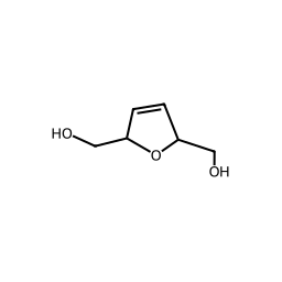 OCC1C=CC(CO)O1